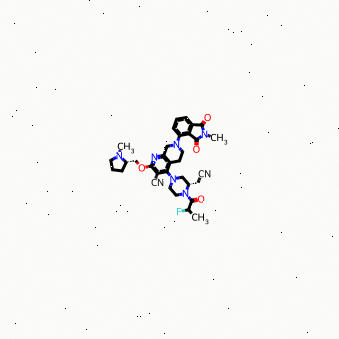 CC(F)C(=O)N1CCN(c2c(C#N)c(OC[C@@H]3CCCN3C)nc3c2CCN(c2cccc4c2C(=O)N(C)C4=O)C3)C[C@@H]1CC#N